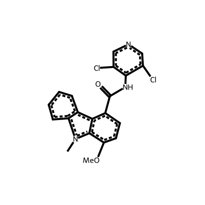 COc1ccc(C(=O)Nc2c(Cl)cncc2Cl)c2c3ccccc3n(C)c12